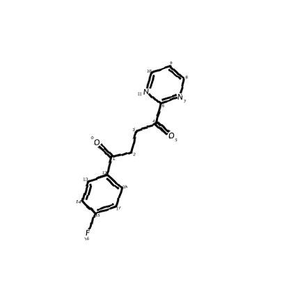 O=C(CCC(=O)c1ncccn1)c1ccc(F)cc1